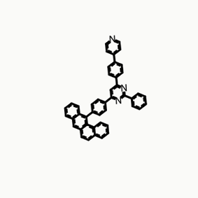 c1ccc(-c2nc(-c3ccc(-c4ccncc4)cc3)cc(-c3ccc(-c4c5ccccc5cc5ccc6ccccc6c45)cc3)n2)cc1